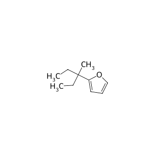 CCC(C)(CC)c1ccco1